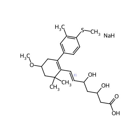 COC1CC(c2ccc(SC)c(C)c2)=C(/C=C/C(O)CC(O)CC(=O)O)C(C)(C)C1.[NaH]